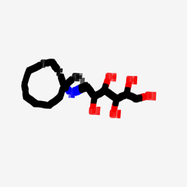 CC1(N=CC(O)C(O)C(O)C(O)CO)CCCCCCCCC1